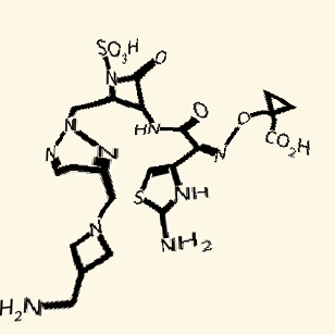 NCC1CN(Cc2cnn(CC3C(NC(=O)/C(=N\OC4(C(=O)O)CC4)C4=CSC(N)N4)C(=O)N3S(=O)(=O)O)n2)C1